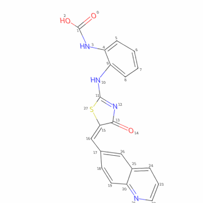 O=C(O)Nc1ccccc1NC1=NC(=O)C(=Cc2ccc3ncccc3c2)S1